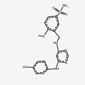 CSc1ccc(S(N)(=O)=O)cc1CNc1cc(Nc2ccc(Cl)cn2)ncn1